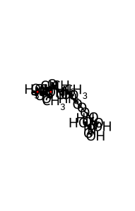 COc1cccc(O)c1-c1cc(C(=O)NC2(C(=O)O)C3CC4CC(C3)CC2C4)nn1-c1c#cc(C(=O)N(C)CCCN(C)CCCN(C)C(=O)CCC(=O)NCCCOCCOCCOCCCNC(=O)CCC(C(=O)O)N2CCN(CC(=O)O)CCN(CC(=O)O)CC2)cc1C(C)C